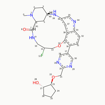 CN1CC[C@H]2C[C@H]1C(=O)NCC(F)COc1c(-c3cnc(CO[C@H]4CCC[C@@H]4O)nc3)ccc3ncc(cc13)N2